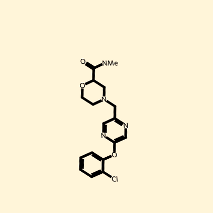 CNC(=O)C1CN(Cc2cnc(Oc3ccccc3Cl)cn2)CCO1